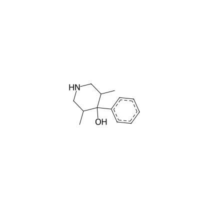 CC1CNCC(C)C1(O)c1ccccc1